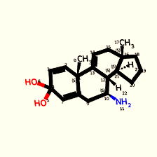 C[C@]12C=CC(O)(O)C=C1C[C@H](N)[C@@H]1C2=CC[C@]2(C)CCC[C@@H]12